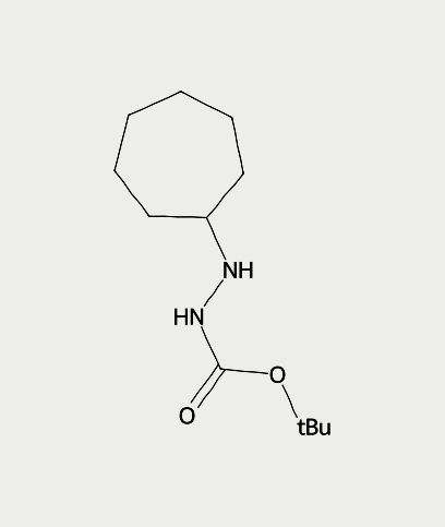 CC(C)(C)OC(=O)NNC1CCCCCC1